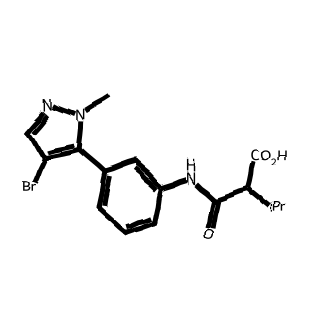 CC(C)C(C(=O)O)C(=O)Nc1cccc(-c2c(Br)cnn2C)c1